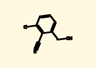 N#Cc1c(Cl)cccc1[CH]O